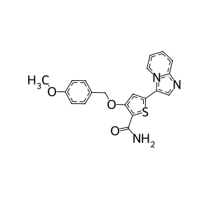 COc1ccc(COc2cc(-c3cnc4ccccn34)sc2C(N)=O)cc1